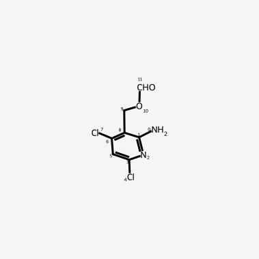 Nc1nc(Cl)cc(Cl)c1COC=O